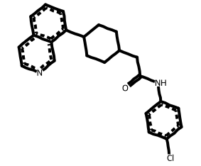 O=C(CC1CCC(c2cccc3ccncc23)CC1)Nc1ccc(Cl)cc1